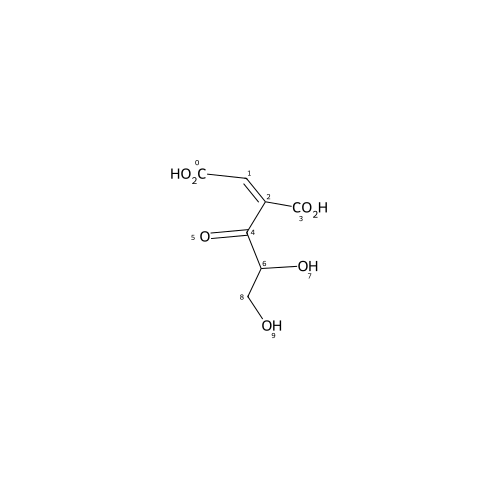 O=C(O)/C=C(/C(=O)O)C(=O)C(O)CO